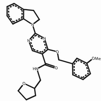 COc1cccc(COc2nc(N3CCc4ccccc43)ncc2C(=O)NCC2CCCO2)c1